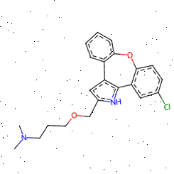 CN(C)CCCOCc1cc2c([nH]1)-c1cc(Cl)ccc1Oc1ccccc1-2